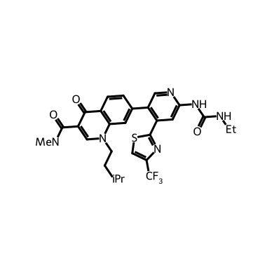 CCNC(=O)Nc1cc(-c2nc(C(F)(F)F)cs2)c(-c2ccc3c(=O)c(C(=O)NC)cn(CCC(C)C)c3c2)cn1